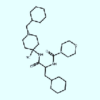 N#CC1(NC(=O)C(CC2CCCCC2)NC(=O)N2CCOCC2)CCN(CC2CCCCC2)CC1